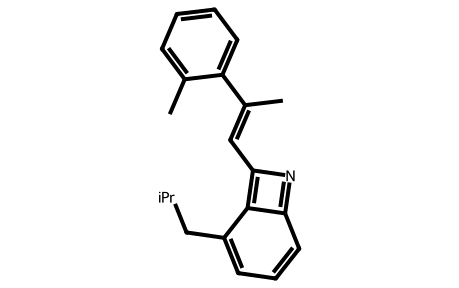 C/C(=C\C1=c2c(CC(C)C)cccc2=N1)c1ccccc1C